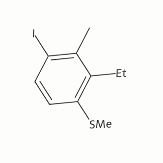 CCc1c(SC)ccc(I)c1C